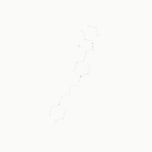 CCOC(=O)N1CCC(NCCOc2ccc(-c3nc4cc(Br)cnc4[nH]3)cc2)CC1